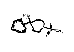 CS(=O)(=O)N1CCC(N)(c2ccccc2)CC1